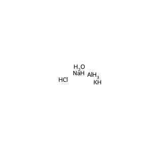 Cl.O.[AlH3].[KH].[NaH]